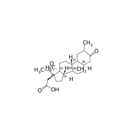 CC(=O)[C@@]1(CC(=O)O)CC[C@H]2[C@@H]3CC[C@@H]4CC(=O)C(C)C[C@]4(C)[C@H]3CC[C@@]21C